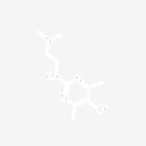 Cc1nc(NCCN(C)C)nc(C)c1C(C)C